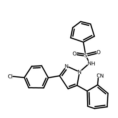 N#Cc1ccccc1-c1cc(-c2ccc(Cl)cc2)nn1NS(=O)(=O)c1ccccc1